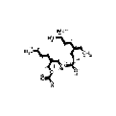 CCCCC(CC)COC(=O)[O-].CCCCC(CC)COC(=O)[O-].[Mg+2]